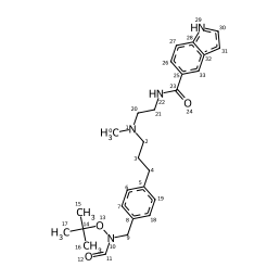 CN(CCCc1ccc(CN(C=O)OC(C)(C)C)cc1)CCNC(=O)c1ccc2[nH]ccc2c1